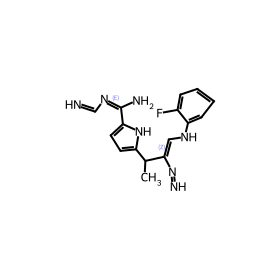 CC(/C(=C/Nc1ccccc1F)N=N)c1ccc(/C(N)=N\C=N)[nH]1